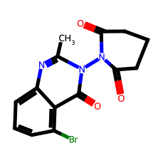 Cc1nc2cccc(Br)c2c(=O)n1N1C(=O)CCCC1=O